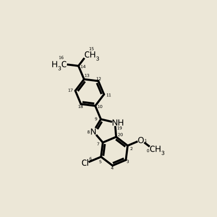 COc1ccc(Cl)c2nc(-c3ccc(C(C)C)cc3)[nH]c12